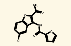 NC(=O)c1oc2ccc(Cl)cc2c1NC(=O)c1ccco1